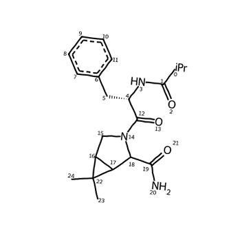 CC(C)C(=O)N[C@@H](Cc1ccccc1)C(=O)N1CC2C(C1C(N)=O)C2(C)C